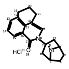 CN1C2CCC1CC(n1cc3c4c(cccc4c1=O)CCC3)C2.Cl